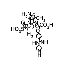 Cc1sc(N)nc1/C(=N/O[C@@H](COc1ccc(C(=N)NC2CCNCC2)cc1)C(=O)O)C(=O)N[C@@H]1C(=O)N(S(=O)(=O)O)[C@@H]1C